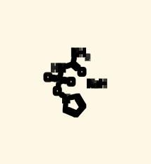 NC(=O)NS(=O)(=O)On1cccc1.[NaH]